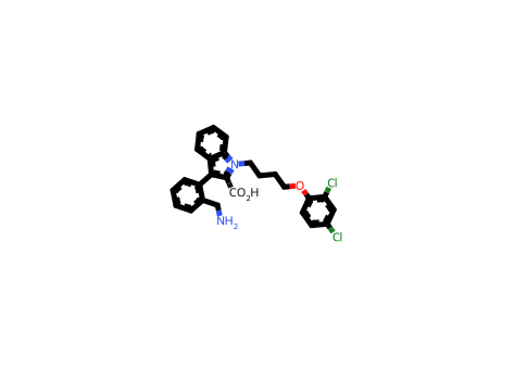 NCc1ccccc1-c1c(C(=O)O)n(CCCCOc2ccc(Cl)cc2Cl)c2ccccc12